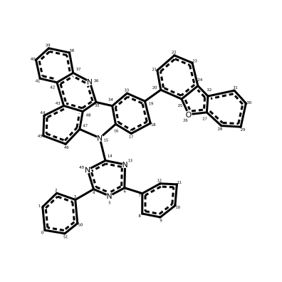 c1ccc(-c2nc(-c3ccccc3)nc(N3c4ccc(-c5cccc6c5oc5ccccc56)cc4-c4nc5ccccc5c5cccc3c45)n2)cc1